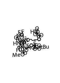 COC(=O)N1CC[C@H]2CC[C@@H](C(=O)N[C@@H](CCC(N)=O)C(=O)N[C@@H](Cc3ccc(F)c(F)c3)C(=O)N3CCC(CCC#Cc4cccc5c4CN(C4CCC(=O)NC4=O)C5=O)CC3)N2C(=O)[C@@H](NC(=O)c2cc3cc(C(F)(F)P(=O)(O)OCOC(=O)C(C)(C)C)ccc3s2)C1